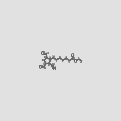 CCOC(=O)CCCCCCC1C(C=O)CC(C=O)C1C#N